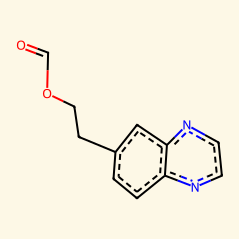 O=COCCc1ccc2nccnc2c1